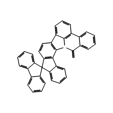 O=c1c2ccccc2c2cccc3c4ccc5c(c4n1c23)-c1ccccc1C51c2ccccc2-c2ccccc21